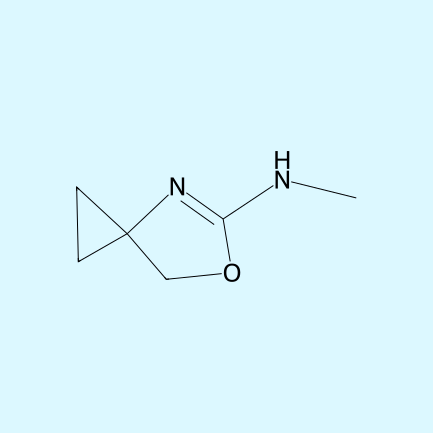 CNC1=NC2(CC2)CO1